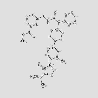 COC(=O)c1cccc(CNC(=O)C(c2ccccc2)N2CCN(c3ccc(-n4ccn(C(C)C)c4=O)c(C)c3)CC2)c1